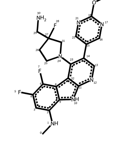 CNc1cc(F)c(F)c2c1[nH]c1ncc(-c3cnc(OC)nc3)c(N3CCC(F)(CN)C3)c12